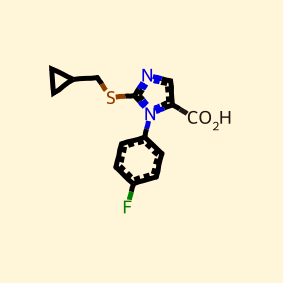 O=C(O)c1cnc(SCC2CC2)n1-c1ccc(F)cc1